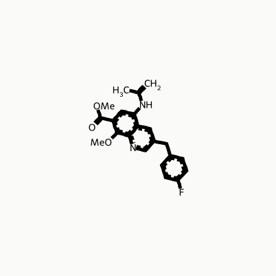 C=C(C)Nc1cc(C(=O)OC)c(OC)c2ncc(Cc3ccc(F)cc3)cc12